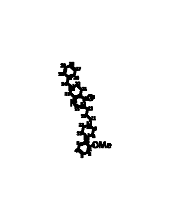 COc1ccccc1N1CCN(CCCn2cnc3c(c2=O)CCN(Cc2ccccc2)C3)CC1